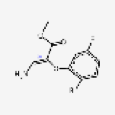 COC(=O)/C(=C/N)Oc1cc(F)ccc1Br